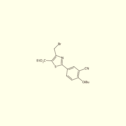 CCOC(=O)c1sc(-c2ccc(OCC(C)C)c(C#N)c2)nc1CBr